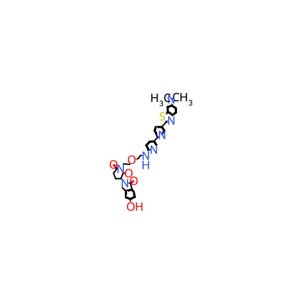 CN(C)c1ccc2nc(-c3ccc(-c4ccc(NCCOCCN5C(=O)CCC(N6Cc7cc(O)ccc7C6=O)C5=O)nc4)nc3)sc2c1